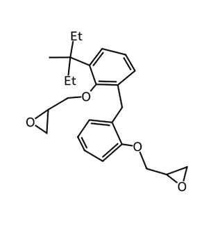 CCC(C)(CC)c1cccc(Cc2ccccc2OCC2CO2)c1OCC1CO1